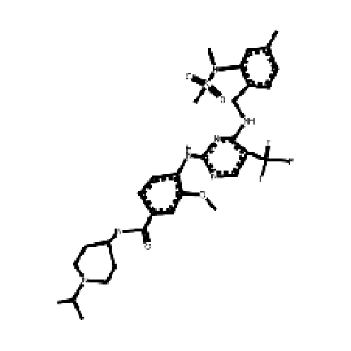 COc1cc(C(=O)NC2CCN(C(C)C)CC2)ccc1Nc1ncc(C(F)(F)F)c(NCc2ccc(C)cc2N(C)S(C)(=O)=O)n1